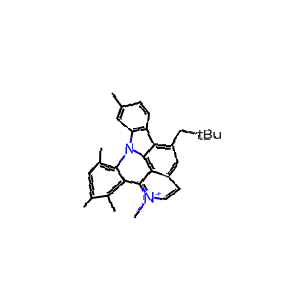 Cc1ccc2c3c(CC(C)(C)C)cc4cc[n+](C)c5c6c(C)c(C)cc(C)c6n(c2c1)c3c45